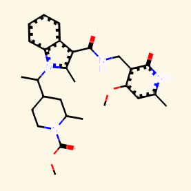 COC(=O)N1CCC(C(C)n2c(C)c(C(=O)NCc3c(OC)cc(C)[nH]c3=O)c3ccccc32)CC1C